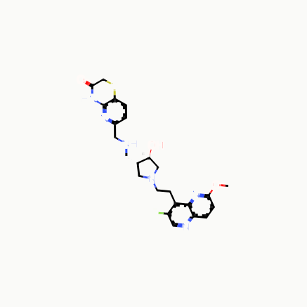 COc1ccc2ncc(F)c(CCN3C[C@H](CNCc4ccc5c(n4)NC(=O)CS5)[C@@H](O)C3)c2n1